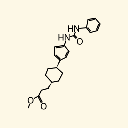 COC(=O)CC[C@H]1CC[C@@H](c2ccc(NC(=O)Nc3ccccc3)cc2)CC1